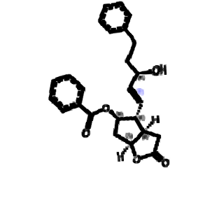 O=C1C[C@@H]2[C@@H](/C=C/[C@H](O)CCc3ccccc3)[C@H](OC(=O)c3ccccc3)C[C@@H]2O1